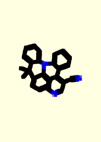 CC1(C)c2ccccc2N(c2ccccc2-c2ccncc2C#N)c2ccccc21